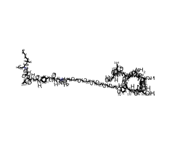 CCCCCC(C)(C)SC/C(CSC)=N/OCC(=O)N[C@@H](CC(C)C)C(=O)NCC(=O)Nc1ccc(COC(=O)NC/C(N)=C/NCCOCCOCCOCCOCCOCCOCCOCCSCc2c(OC)ccc3c4c([nH]c23)[S+]([O-])C[C@@H](NC(=O)CNC(=O)[C@@H](NC(=O)CNC=O)[C@@H](C)CC)C(=O)NC(CC(N)=O)C(=O)N2C[C@H](O)C[C@H]2C(=O)NC([C@@H](C)[C@@H](O)CO)C(=O)N[C@H](C)C4)cc1